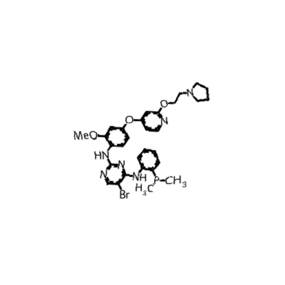 COc1cc(Oc2ccnc(OCCN3CCCC3)c2)ccc1Nc1ncc(Br)c(Nc2ccccc2P(C)C)n1